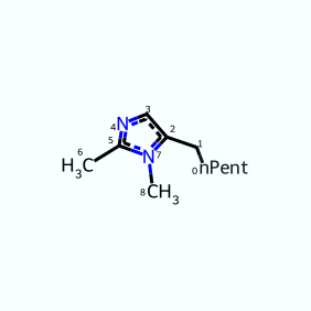 CCCCCCc1cnc(C)n1C